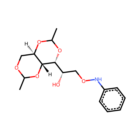 CC1OC[C@H]2OC(C)O[C@H]([C@@H](O)CONc3ccccc3)[C@@H]2O1